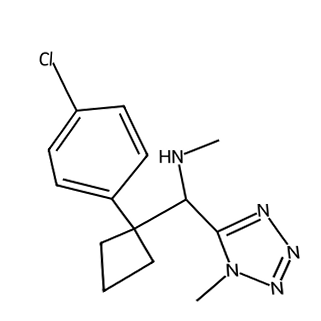 CNC(c1nnnn1C)C1(c2ccc(Cl)cc2)CCC1